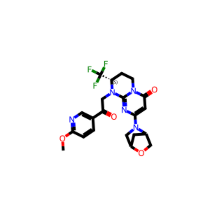 COc1ccc(C(=O)CN2c3nc(N4CC5CC4CO5)cc(=O)n3CC[C@H]2C(F)(F)F)cn1